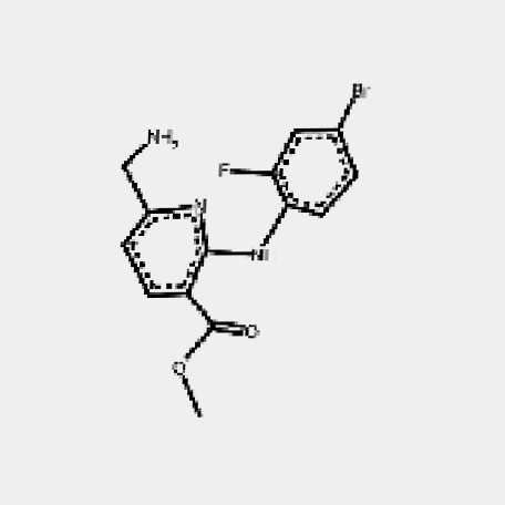 COC(=O)c1ccc(CN)nc1Nc1ccc(Br)cc1F